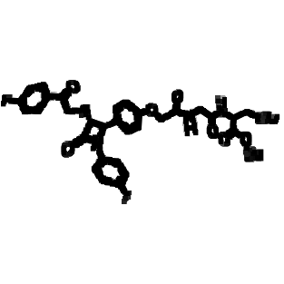 CC(C)(C)CC(NC(=O)CNC(=O)COc1ccc([C@@H]2[C@@H](SCC(=O)c3ccc(F)cc3)C(=O)N2c2ccc(F)cc2)cc1)C(=O)OC(C)(C)C